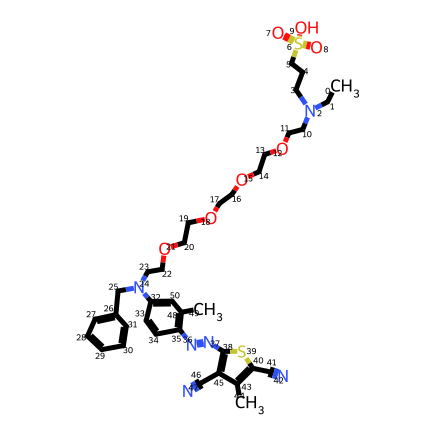 CCN(CCCS(=O)(=O)O)CCOCCOCCOCCOCCN(Cc1ccccc1)c1ccc(/N=N/c2sc(C#N)c(C)c2C#N)c(C)c1